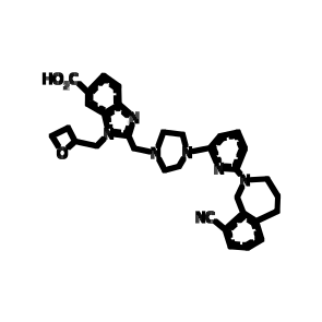 N#Cc1cccc2c1CN(c1cccc(N3CCN(Cc4nc5ccc(C(=O)O)cc5n4CC4CCO4)CC3)n1)CCC2